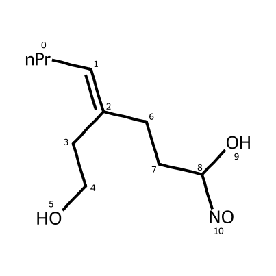 CCC/C=C(\CCO)CCC(O)N=O